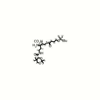 CC1(C)OCC(C)(C)[C@H](C(=O)NCCC(N)[C@@H](CSC(=O)CCCO[Si](C)(C)C(C)(C)C)C(=O)O)O1